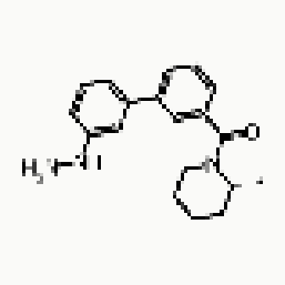 C[C@@H]1CCCCN1C(=O)c1cccc(-c2cccc(NN)c2)c1